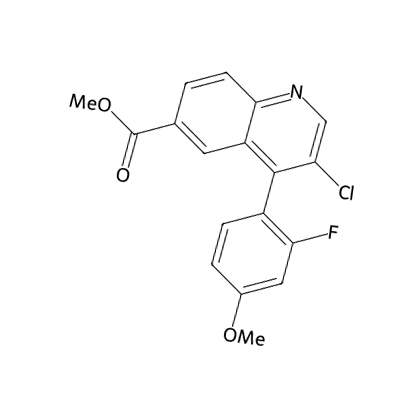 COC(=O)c1ccc2ncc(Cl)c(-c3ccc(OC)cc3F)c2c1